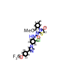 COCc1ccc(C)cc1N1C(=O)CS/C1=N\C(=O)Nc1ccc(-n2cnc(-c3ccc(OC(F)(F)F)cc3)c2)cc1Cl